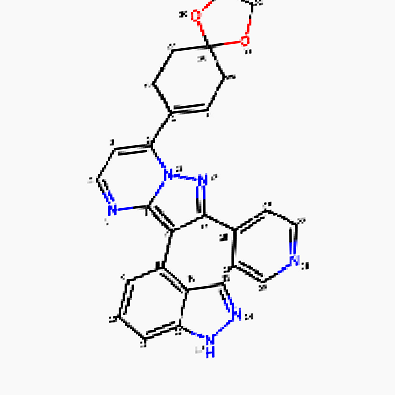 C1=C(c2ccnc3c(-c4cccc5[nH]ncc45)c(-c4ccncc4)nn23)CCC2(C1)OCCO2